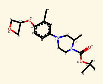 Cc1cc(N2CCN(C(=O)OC(C)(C)C)C(C)C2)ccc1OC1COC1